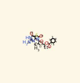 CC[C@@H](OC(=O)c1ccccc1)[C@@H]1C[C@@H](C)[C@H](n2c(=O)sc3c(=O)[nH]c(N)nc32)O1